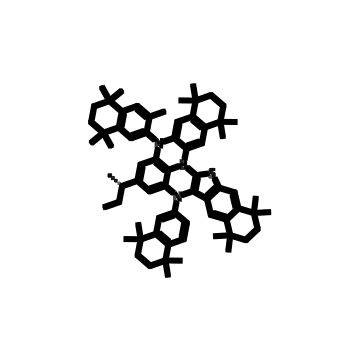 CC[C@H](C)c1cc2c3c(c1)N(c1ccc4c(c1)C(C)(C)CCC4(C)C)c1c(sc4cc5c(cc14)C(C)(C)CCC5(C)C)B3c1cc3c(cc1N2c1cc2c(cc1C)C(C)(C)CCC2(C)C)C(C)(C)CCC3(C)C